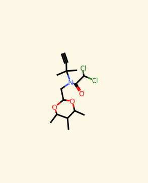 C#CC(C)(C)N(CC1OC(C)C(C)C(C)O1)C(=O)C(Cl)Cl